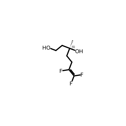 C[C@@](O)(CCO)CCC(F)=C(F)F